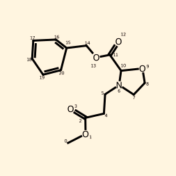 COC(=O)CCN1CCOC1C(=O)OCc1ccccc1